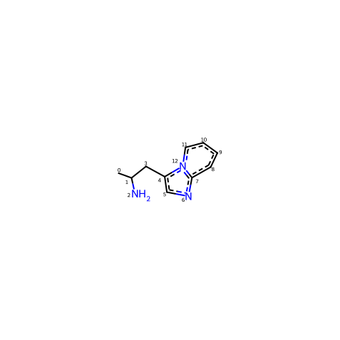 CC(N)Cc1cnc2ccccn12